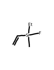 C=C[Si](C)(F)CC